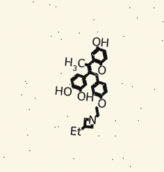 CCC1CN(CCOc2ccc(C3Oc4ccc(O)cc4C(C)=C3c3ccc(O)c(O)c3)cc2)C1